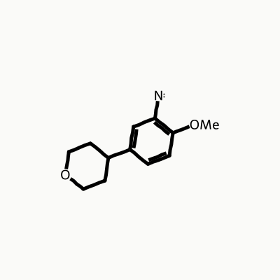 COc1ccc(C2CCOCC2)cc1[N]